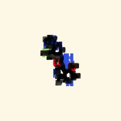 COC(c1c(NC(=O)Nc2cnc(-n3nccn3)c(C(F)(F)F)c2)cnc(C)c1C#N)C1CC1